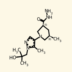 Cc1c(N2C[C@H](C)C[C@H](C(=O)NN)C2)cnn1CC(C)(C)O